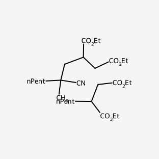 CCCCCC(C)(C#N)CC(CC(=O)OCC)C(=O)OCC.CCCCCC(CC(=O)OCC)C(=O)OCC